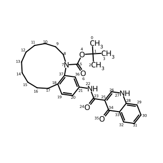 CC(C)(C)OC(=O)N1CCCCCCCCCCc2ccc(NC(=O)c3c[nH]c4ccccc4c3=O)cc21